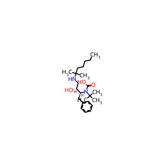 CCCCCC(C)(C)NC[C@@H](O)[C@H](Cc1ccccc1)N(C(=O)O)C(C)(C)C